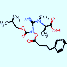 CC(C)COC(=O)N(OC(=O)CCCc1ccccc1)C(=N)N(C)C(C)C(=O)O